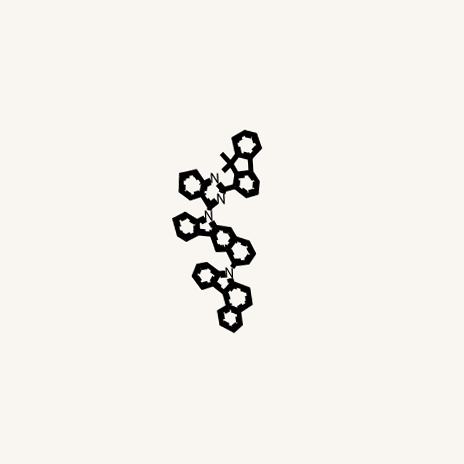 CC1(C)c2ccccc2-c2cccc(-c3nc(-n4c5ccccc5c5cc6c(-n7c8ccccc8c8c9ccccc9ccc87)cccc6cc54)c4ccccc4n3)c21